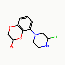 OC1COc2cccc(N3CCNC(Cl)C3)c2O1